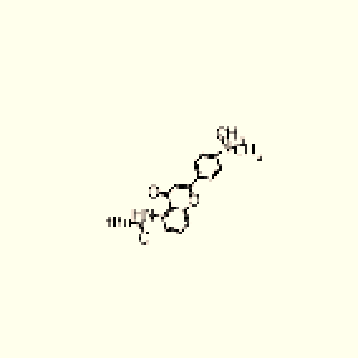 CN(C)c1ccc(-c2cc(=O)c3c(NC(=O)C(C)(C)C)cccc3o2)cc1